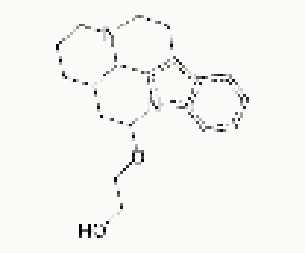 OCCOC1CC2CCCN3CCc4c(n1c1ccccc41)C23